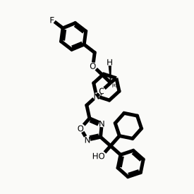 OC(c1ccccc1)(c1noc(C[N+]23CCC(CC2)[C@@H](OCc2ccc(F)cc2)C3)n1)C1CCCCC1